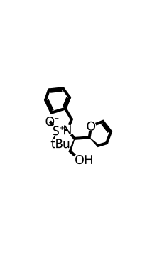 CC(C)(C)[S@@+]([O-])N(Cc1ccccc1)[C@H](CO)[C@@H]1CCC=CO1